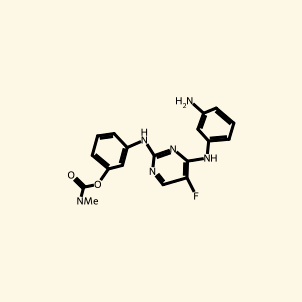 CNC(=O)Oc1cccc(Nc2ncc(F)c(Nc3cccc(N)c3)n2)c1